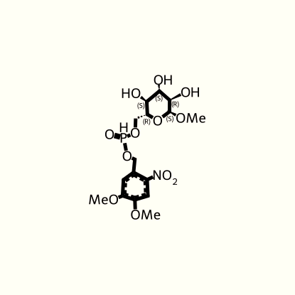 COc1cc(CO[PH](=O)OC[C@H]2O[C@H](OC)[C@H](O)[C@@H](O)[C@@H]2O)c([N+](=O)[O-])cc1OC